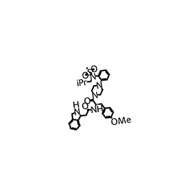 COc1ccc(C[C@@H](NC(=O)CC2NCc3ccccc32)C(=O)N2CCN(c3ccccc3N(CC(C)C)S(C)(=O)=O)CC2)cc1